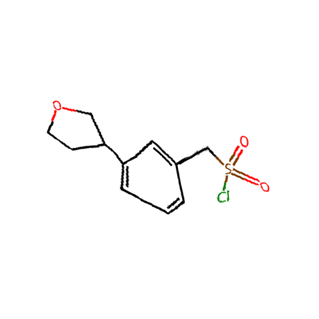 O=S(=O)(Cl)Cc1cccc(C2CCOC2)c1